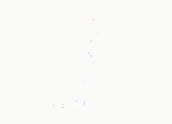 CC(C)C(=O)NC(CCN1CCC2(CC1)CCN(Cc1ccc(S(C)(=O)=O)cc1)C2=O)c1cccs1